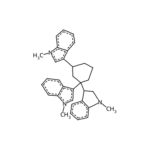 CN1CC(C2(c3cn(C)c4ccccc34)CCCC(c3cn(C)c4ccccc34)C2)c2ccccc21